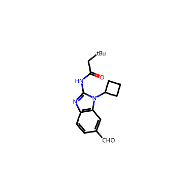 CC(C)(C)CC(=O)Nc1nc2ccc(C=O)cc2n1C1CCC1